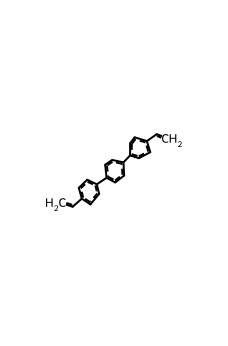 C=Cc1ccc(-c2ccc(-c3ccc(C=C)cc3)cc2)cc1